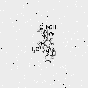 C=C(C)c1cn(-c2ccccc2Cl)c(=O)c2ccc(-n3nc(CO)n(CC)c3=O)cc12